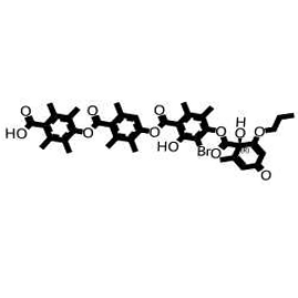 CCCOC1=CC(=O)C=C(C)[C@]1(O)C(=O)Oc1c(C)c(C)c(C(=O)Oc2cc(C)c(C(=O)Oc3c(C)c(C)c(C(=O)O)c(C)c3C)c(C)c2C)c(O)c1Br